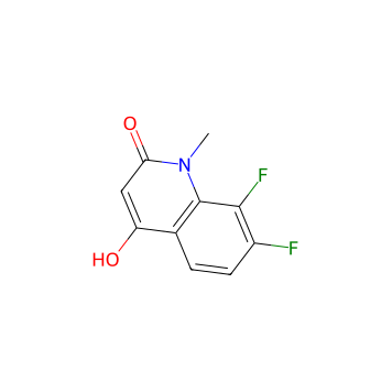 Cn1c(=O)cc(O)c2ccc(F)c(F)c21